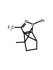 CC(C)n1nc(C(F)(F)F)c2c1C1CCC2(C)C1(C)C